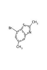 Cc1cc(Br)c2sc(C)nc2c1